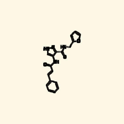 O=C(/C=C/c1ccccc1)Nc1c[nH]nc1C(=O)NCc1ccco1